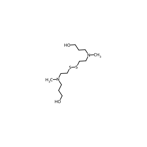 CN(CCCO)CCSSCCN(C)CCCO